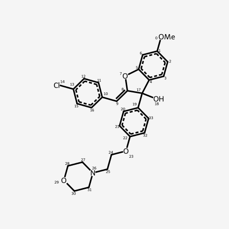 COc1ccc2c(c1)OC(=Cc1ccc(Cl)cc1)C2(O)c1ccc(OCCN2CCOCC2)cc1